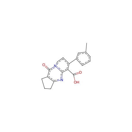 Cc1cccc(-c2ccn3c(=O)c4c(nc3c2C(=O)O)CCC4)c1